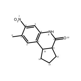 Cc1cc2c(cc1[N+](=O)[O-])NC(=O)C1CCCC21